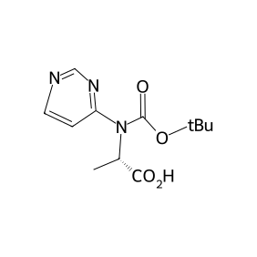 C[C@@H](C(=O)O)N(C(=O)OC(C)(C)C)c1ccncn1